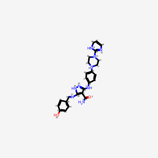 NC(=O)c1c(Nc2ccc(N3CCN(C4=NC=CCN4)CC3)cc2)n[nH]c1NCc1ccc(O)cc1